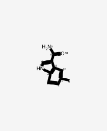 Cc1ccc2[nH]cc(C(N)=O)c2c1